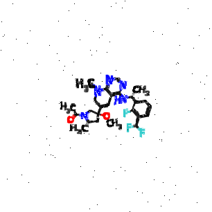 CO[C@@]1(C2=Cc3c(N[C@H](C)c4cccc(C(F)F)c4F)ncnc3N(C)C2)C[C@H](C)N(C(C)=O)C1